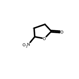 O=C1C[CH]C([N+](=O)[O-])O1